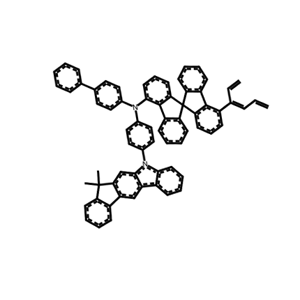 C=C/C=C(\C=C)c1cccc2c1-c1ccccc1C21c2ccccc2-c2c(N(c3ccc(-c4ccccc4)cc3)c3ccc(-n4c5ccccc5c5cc6c(cc54)C(C)(C)c4ccccc4-6)cc3)cccc21